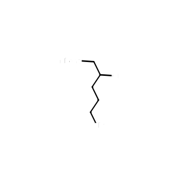 CCCCCCC(C)CCCC(C)C